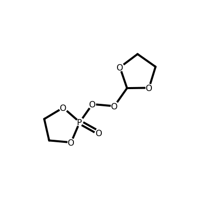 O=P1(OOC2OCCO2)OCCO1